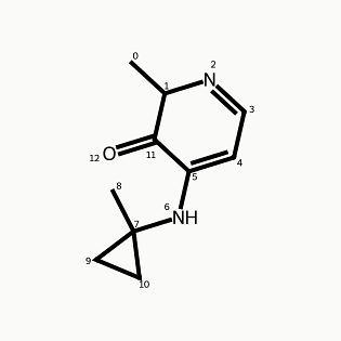 CC1N=CC=C(NC2(C)CC2)C1=O